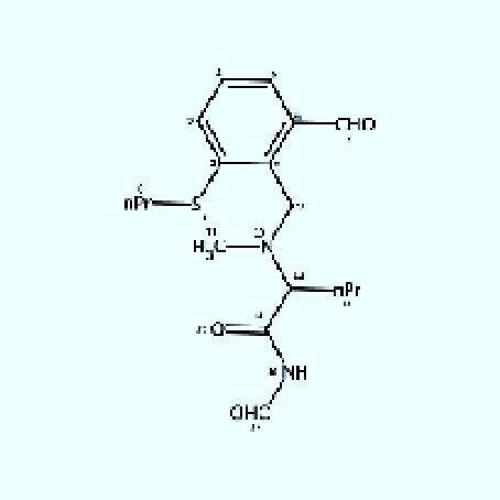 CCCSc1cccc(C=O)c1CN(C)C(CCC)C(=O)NC=O